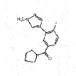 Cn1cc(-c2cc(C(=O)N3CCCC3)ccc2F)cn1